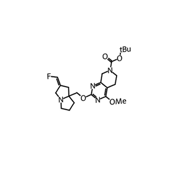 COc1nc(OCC23CCCN2C/C(=C\F)C3)nc2c1CCN(C(=O)OC(C)(C)C)C2